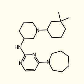 CC1(C)CCCC(N2CCCC(Nc3nccc(N4CCCCCC4)n3)C2)C1